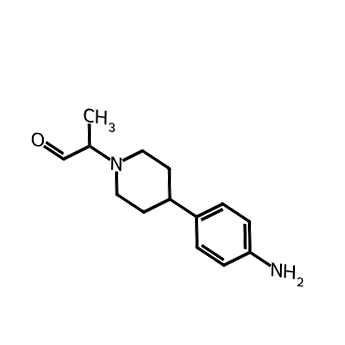 CC(C=O)N1CCC(c2ccc(N)cc2)CC1